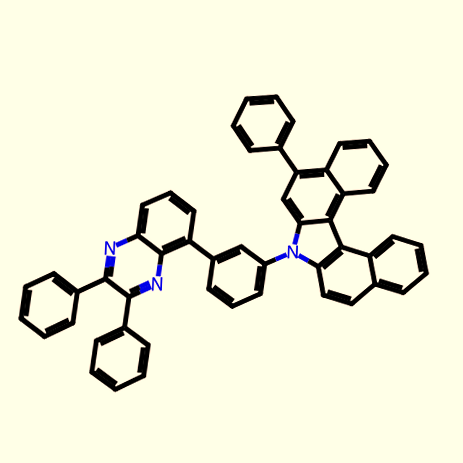 c1ccc(-c2nc3cccc(-c4cccc(-n5c6ccc7ccccc7c6c6c7ccccc7c(-c7ccccc7)cc65)c4)c3nc2-c2ccccc2)cc1